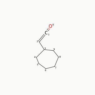 O=C=CC1CCCCCC1